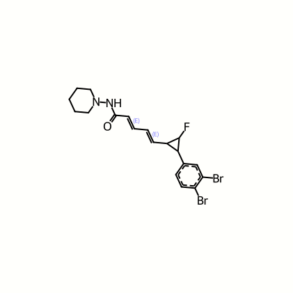 O=C(/C=C/C=C/C1C(F)C1c1ccc(Br)c(Br)c1)NN1CCCCC1